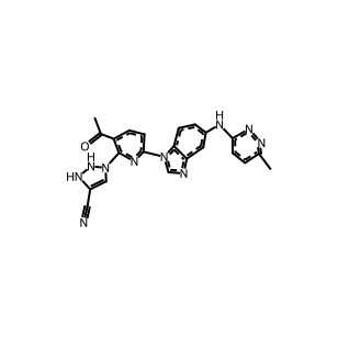 CC(=O)c1ccc(-n2cnc3cc(Nc4ccc(C)nn4)ccc32)nc1N1C=C(C#N)NN1